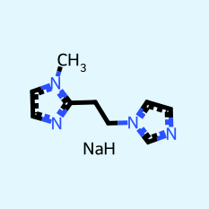 Cn1ccnc1CCn1ccnc1.[NaH]